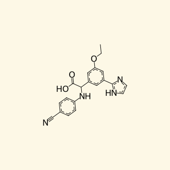 CCOc1cc(-c2ncc[nH]2)cc(C(Nc2ccc(C#N)cc2)C(=O)O)c1